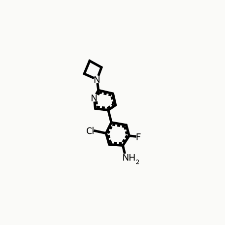 Nc1cc(Cl)c(-c2ccc(N3CCC3)nc2)cc1F